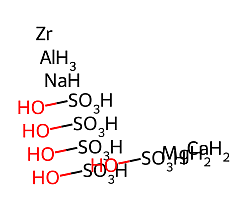 O=S(=O)(O)O.O=S(=O)(O)O.O=S(=O)(O)O.O=S(=O)(O)O.O=S(=O)(O)O.[AlH3].[CaH2].[MgH2].[NaH].[Zr]